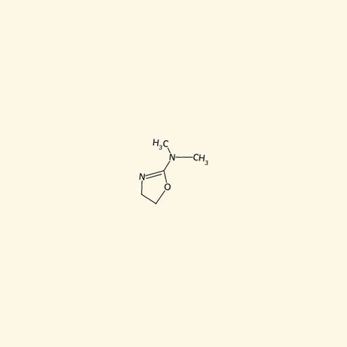 CN(C)C1=NCCO1